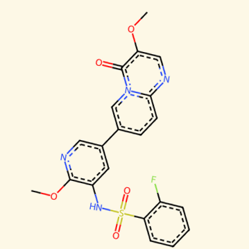 COc1ncc(-c2ccc3ncc(OC)c(=O)n3c2)cc1NS(=O)(=O)c1ccccc1F